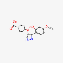 COc1ccc(-c2n[nH]cc2Oc2ccc(C(=O)O)cc2)c(O)c1